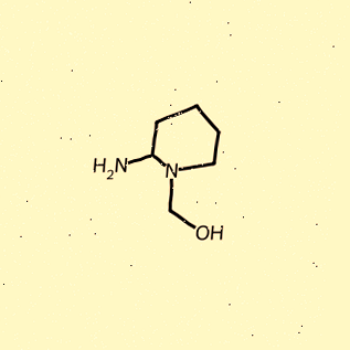 NC1CCCCN1CO